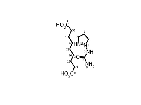 NC(=O)NN1CCCN1.O=C(O)CCCCCCCC(=O)O